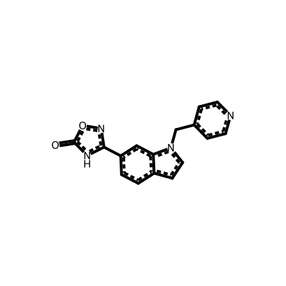 O=c1[nH]c(-c2ccc3ccn(Cc4ccncc4)c3c2)no1